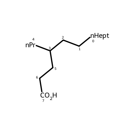 CCCCCCCCCC(CCC)CCC(=O)O